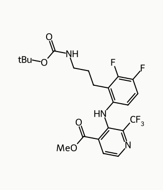 COC(=O)c1ccnc(C(F)(F)F)c1Nc1ccc(F)c(F)c1CCCNC(=O)OC(C)(C)C